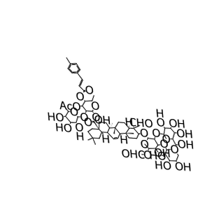 CC(=O)OC1C(OC(=O)/C=C/c2ccc(C)cc2)C(C)OC(OC(=O)[C@]23CCC(C)(C)C[C@H]2C2C=C[C@@H]4[C@@]5(C)CC[C@H](OC6OC(OC=O)C(O)C(OC7OCC(O)C(O)C7O)C6OC6OC(CO)C(O)C(O)C6O)[C@@](C)(C=O)[C@@H]5CC[C@@]4(C)[C@]2(C)C[C@H]3O)C1OC1OC(C)C(O)C(O)C1O